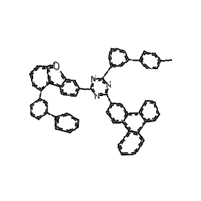 Cc1ccc(-c2cccc(-c3nc(-c4ccc5c(c4)oc4cccc(-c6cccc(-c7ccccc7)c6)c45)nc(-c4ccc5c6ccccc6c6ccccc6c5c4)n3)c2)cc1